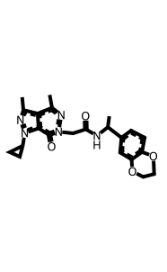 Cc1nn(CC(=O)NC(C)c2ccc3c(c2)OCCO3)c(=O)c2c1c(C)nn2C1CC1